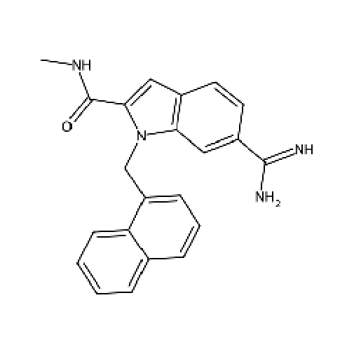 CNC(=O)c1cc2ccc(C(=N)N)cc2n1Cc1cccc2ccccc12